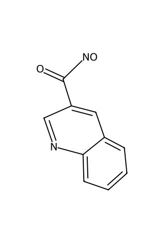 O=NC(=O)c1cnc2ccccc2c1